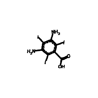 Nc1c(I)c(N)c(I)c(C(=O)O)c1I